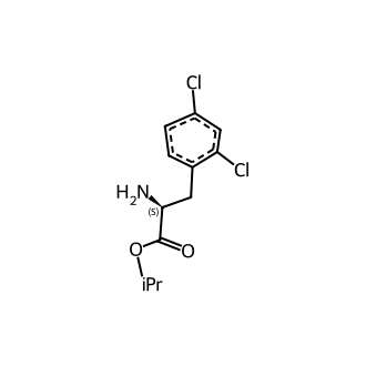 CC(C)OC(=O)[C@@H](N)Cc1ccc(Cl)cc1Cl